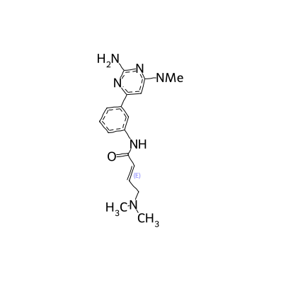 CNc1cc(-c2cccc(NC(=O)/C=C/CN(C)C)c2)nc(N)n1